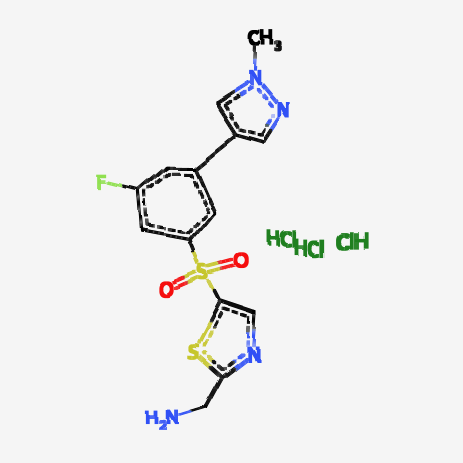 Cl.Cl.Cl.Cn1cc(-c2cc(F)cc(S(=O)(=O)c3cnc(CN)s3)c2)cn1